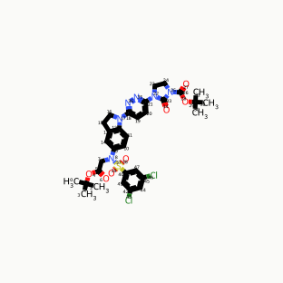 CC(C)(C)OC(=O)CN(c1ccc2c(c1)CCN2c1ccc(N2CCN(C(=O)OC(C)(C)C)C2=O)nn1)S(=O)(=O)c1cc(Cl)cc(Cl)c1